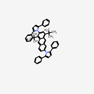 CC(C)(C)c1cc(-n2c(-c3ccccc3)ccc2-c2ccccc2)c(C(C)(C)C)c2cc3ccc(-n4c(-c5ccccc5)ccc4-c4ccccc4)cc3cc12